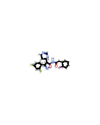 O=C(Cc1ccccc1I)Nc1onc(-c2ccc(F)cc2F)c1-c1ccncn1